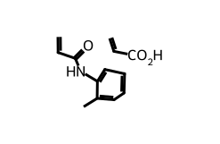 C=CC(=O)Nc1ccccc1C.C=CC(=O)O